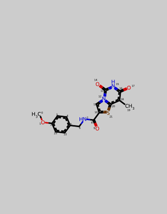 COc1ccc(CNC(=O)c2cn3c(=O)[nH]c(=O)c(C)c3s2)cc1